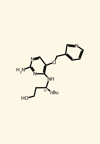 CCCC[C@@H](CCO)Nc1nc(N)ncc1OCc1cccnc1